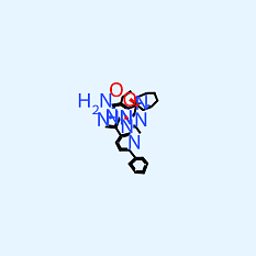 CC(=O)c1c(C2CC3CCC(C2)N3C(=O)c2nc(C)n[nH]2)nc2c(-c3ccc(-c4ccccc4)nc3)cnn2c1N